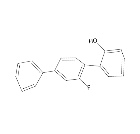 Oc1ccccc1-c1ccc(-c2ccccc2)cc1F